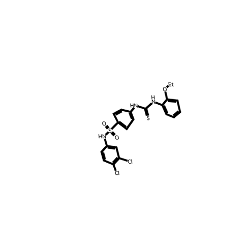 CCOc1ccccc1NC(=S)Nc1ccc(S(=O)(=O)Nc2ccc(Cl)c(Cl)c2)cc1